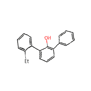 CCc1ccccc1-c1cccc(-c2ccccc2)c1O